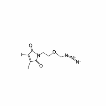 [N-]=[N+]=NCOCCN1C(=O)C(I)=C(I)C1=O